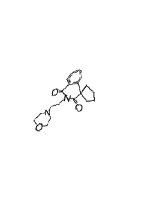 O=C1c2ccccc2C2(CCCC2)C(=O)N1CCN1CCOCC1